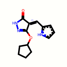 O=C1NN=C(OC2CCCC2)/C1=C\c1ccc[nH]1